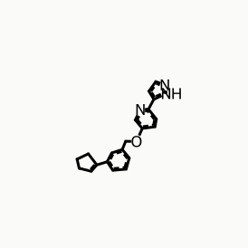 C1=C(c2cccc(COc3ccc(-c4ccn[nH]4)nc3)c2)CCC1